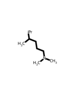 CC(C)C(C)CCCN(C)C